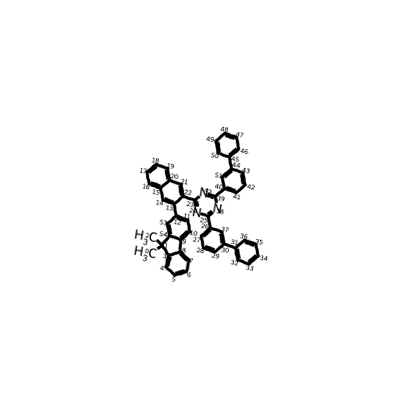 CC1(C)c2ccccc2-c2ccc(-c3cc4ccccc4cc3-c3nc(-c4cccc(-c5ccccc5)c4)nc(-c4cccc(-c5ccccc5)c4)n3)cc21